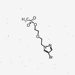 CS(=O)(=O)OCCOCCn1cc(Br)cn1